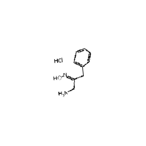 Cl.NCC(Cc1ccccc1)=NO